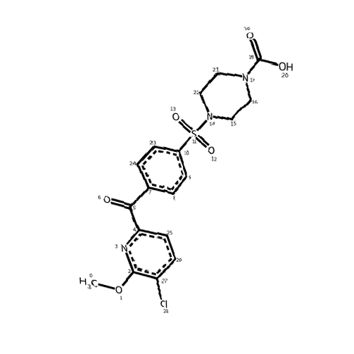 COc1nc(C(=O)c2ccc(S(=O)(=O)N3CCN(C(=O)O)CC3)cc2)ccc1Cl